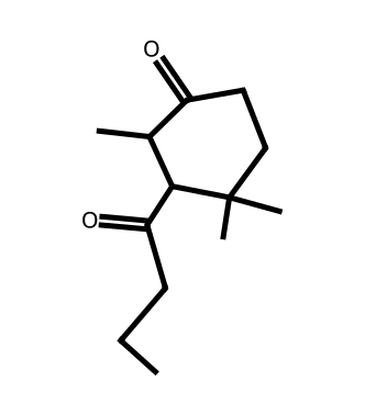 CCCC(=O)C1C(C)C(=O)CCC1(C)C